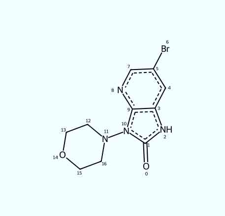 O=c1[nH]c2cc(Br)cnc2n1N1CCOCC1